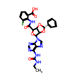 CCNC(=O)Nc1ncnc2c1ncn2C1OC(C(=O)Nc2c(F)cccc2C(=O)O)C2O[C@H](c3ccccc3)OC21